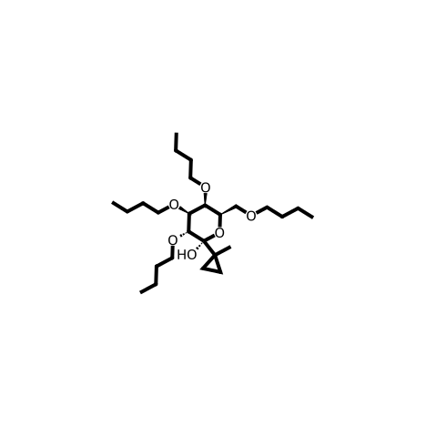 CCCCOC[C@H]1O[C@@](O)(C2(C)CC2)[C@H](OCCCC)[C@@H](OCCCC)[C@H]1OCCCC